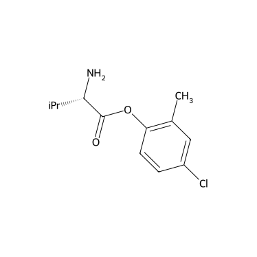 Cc1cc(Cl)ccc1OC(=O)[C@@H](N)C(C)C